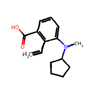 C=Cc1c(C(=O)O)cccc1N(C)C1CCCC1